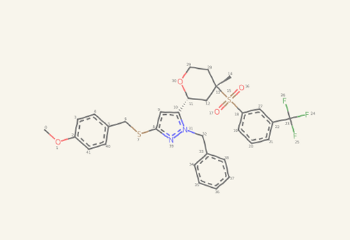 COc1ccc(CSc2cc([C@H]3C[C@@](C)(S(=O)(=O)c4cccc(C(F)(F)F)c4)CCO3)n(Cc3ccccc3)n2)cc1